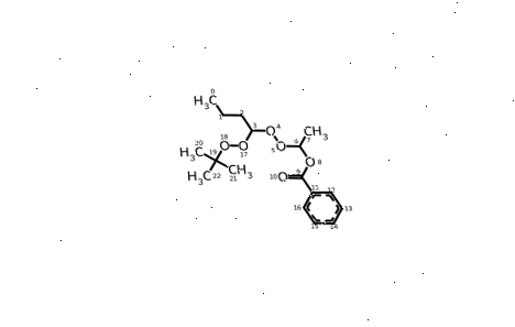 CCCC(OOC(C)OC(=O)c1ccccc1)OOC(C)(C)C